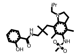 Cc1c2c(c(CC(C)(C)CNC(=O)c3ccccc3O)c(C)c1NS(C)(=O)=O)N(CC(C)C)CC2